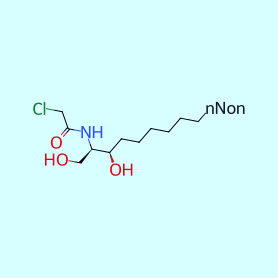 CCCCCCCCCCCCCCC[C@@H](O)[C@@H](CO)NC(=O)CCl